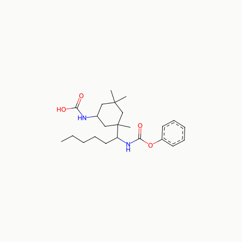 CCCCCC(NC(=O)Oc1ccccc1)C1(C)CC(NC(=O)O)CC(C)(C)C1